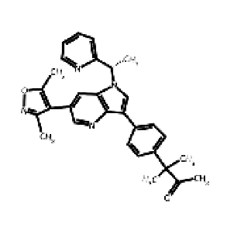 CC(=O)C(C)(C)c1ccc(-c2cn([C@@H](C)c3ccccn3)c3cc(-c4c(C)noc4C)cnc23)cc1